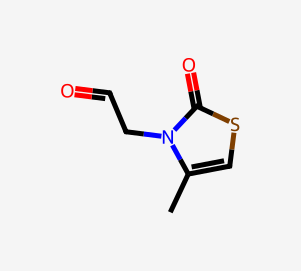 Cc1csc(=O)n1CC=O